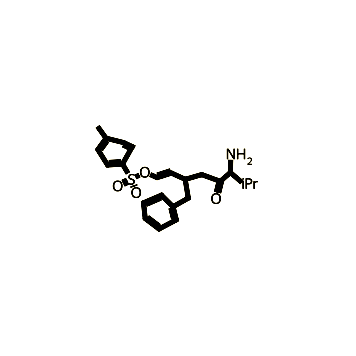 Cc1ccc(S(=O)(=O)OC=CC(CC(=O)C(N)C(C)C)Cc2ccccc2)cc1